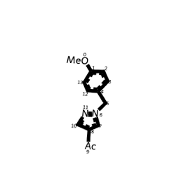 COc1ccc(Cn2cc(C(C)=O)cn2)cc1